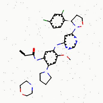 C=CC(=O)Nc1cc(Nc2cc(N3OCC[C@@H]3c3ccc(Cl)cc3F)ncn2)c(OC)cc1N1CC[C@H](N2CCOCC2)C1